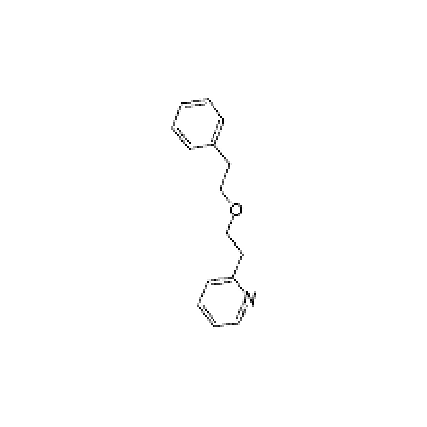 c1ccc(CCOCCc2ccccn2)cc1